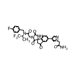 C[C@H](N(Cc1ccc(F)cc1)C(=O)CN1C(=O)NC2(CC(=O)c3cc(-c4cnn(CC(N)=O)c4)ccc32)C1=O)C(F)(F)F